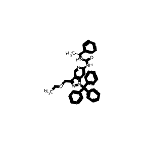 CCOCc1nn(C(c2ccccc2)(c2ccccc2)c2ccccc2)c2cc(NC(=O)N[C@H](C)c3ccccc3)ncc12